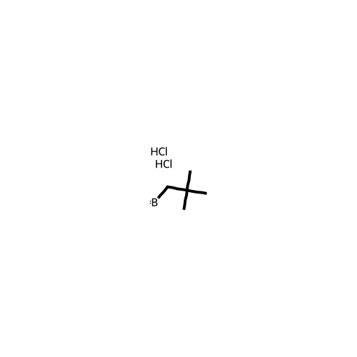 Cl.Cl.[B]CC(C)(C)C